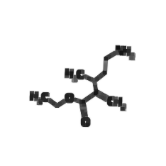 C=C(C(=O)OCC)C(C)CCN